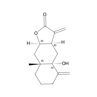 C=C1C(=O)O[C@@H]2C[C@@]3(C)CCCC(=C)[C@]3(O)C[C@H]12